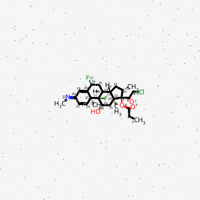 CCC(=O)O[C@]1(C(=O)CCl)[C@@H](C)C[C@H]2[C@@H]3C[C@H](F)C4=C/C(=N/C)C=C[C@]4(C)[C@@]3(F)[C@@H](O)C[C@@]21C